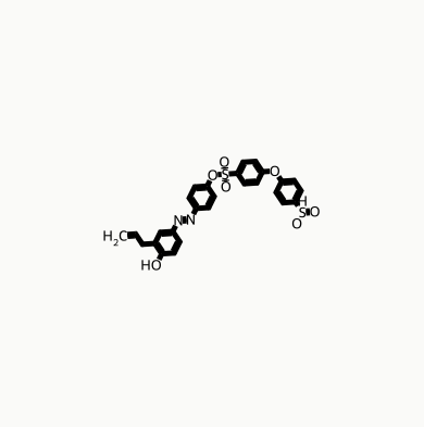 C=CCc1cc(N=Nc2ccc(OS(=O)(=O)c3ccc(Oc4ccc([SH](=O)=O)cc4)cc3)cc2)ccc1O